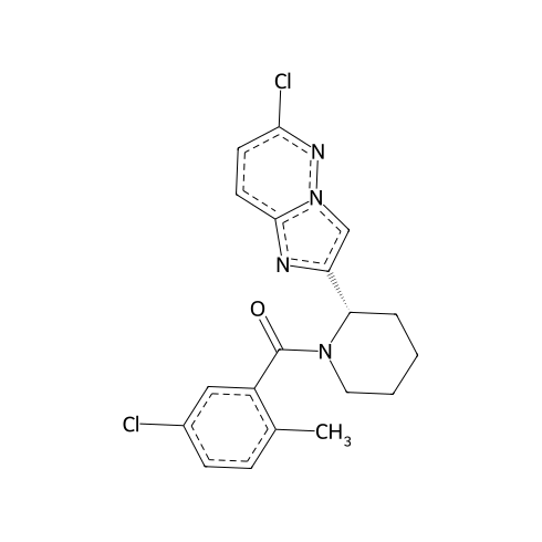 Cc1ccc(Cl)cc1C(=O)N1CCCC[C@H]1c1cn2nc(Cl)ccc2n1